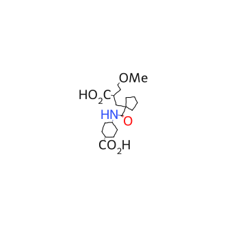 COCCC(CC1(C(=O)N[C@H]2CC[C@@H](C(=O)O)CC2)CCCC1)C(=O)O